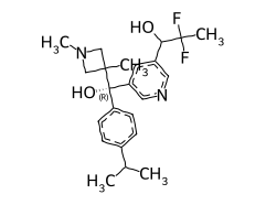 CC(C)c1ccc([C@](O)(c2cncc(C(O)C(C)(F)F)c2)C2(C)CN(C)C2)cc1